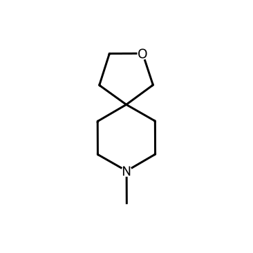 CN1CCC2(CCOC2)CC1